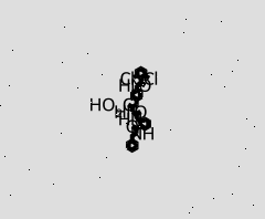 O=C(Nc1ccccc1C(=O)NCc1ccccc1)NC(Cc1ccc(NC(=O)c2c(Cl)cccc2Cl)cc1)C(=O)O